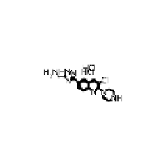 Cl.Cl.NCc1nc(-c2ccc3nc(N4CCNCC4)c(Cl)cc3c2)n[nH]1